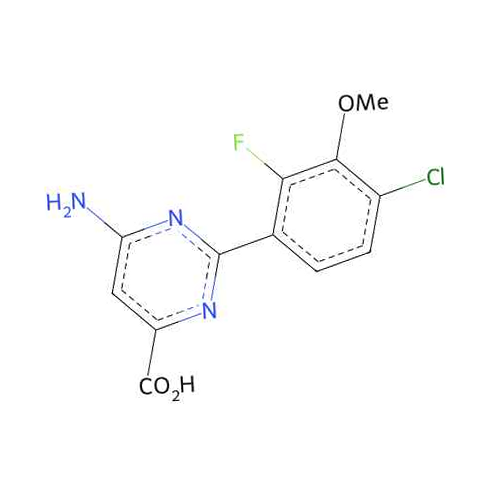 COc1c(Cl)ccc(-c2nc(N)cc(C(=O)O)n2)c1F